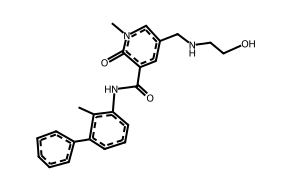 Cc1c(NC(=O)c2cc(CNCCO)cn(C)c2=O)cccc1-c1ccccc1